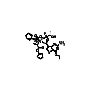 CCOc1nc(N)nc2c1ncn2C(CF)OC(F)(COP(=O)(NC(C)C(=O)OC1CCCC1)Oc1ccccc1)[C@H](C)O